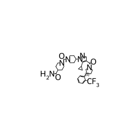 NC(=O)C1CCN(C(=O)N2CCC(n3ncc(C(=O)N4CC[C@@H](c5ccccc5C(F)(F)F)C4)c3C3CC3)CC2)CC1